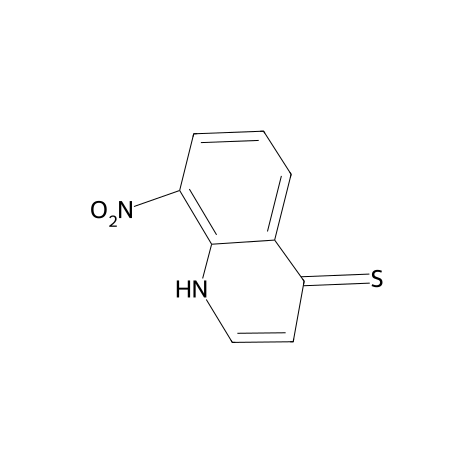 O=[N+]([O-])c1cccc2c(=S)cc[nH]c12